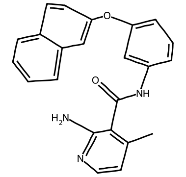 Cc1ccnc(N)c1C(=O)Nc1cccc(Oc2ccc3ccccc3c2)c1